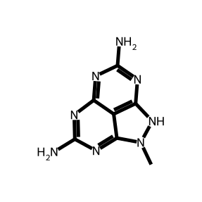 CN1Nc2nc(N)nc3nc(N)nc1c23